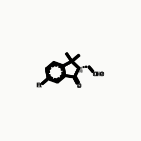 CCc1ccc2c(c1)C(=O)[C@@H](CC=O)C2(C)C